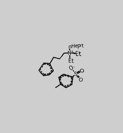 CCCCCCC[N+](CC)(CC)CCCc1ccccc1.Cc1ccc(S(=O)(=O)[O-])cc1